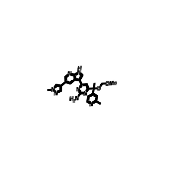 COCOC(C)(c1ccnc(C)c1)c1cc(-c2c[nH]c3ncc(-c4cnn(C)c4)cc23)nc(N)n1